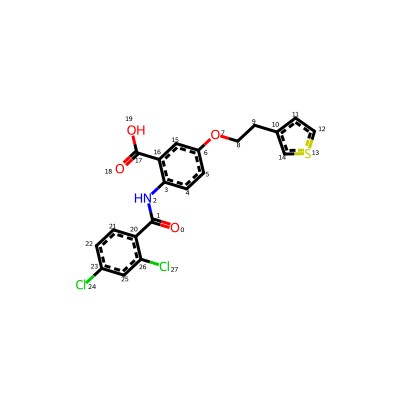 O=C(Nc1ccc(OCCc2ccsc2)cc1C(=O)O)c1ccc(Cl)cc1Cl